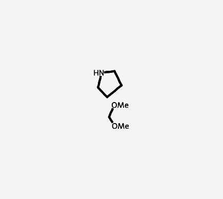 C1CCNC1.COCOC